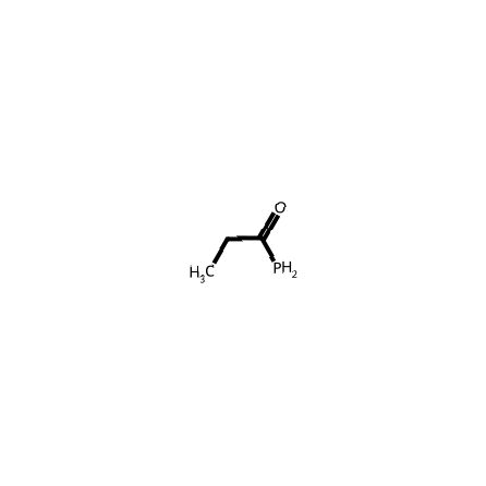 CCC(=O)P